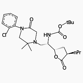 CCC[C@@H]1C[C@@H]([C@H](CN2CC(=O)N(c3ccccc3Cl)CC2(C)C)NC(=O)OC(C)(C)C)OC1=O